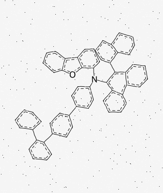 c1ccc(-c2ccccc2-c2ccc(-c3ccc(N(c4c(-c5cccc6ccccc56)c5ccccc5c5ccccc45)c4cccc5c4oc4ccccc45)cc3)cc2)cc1